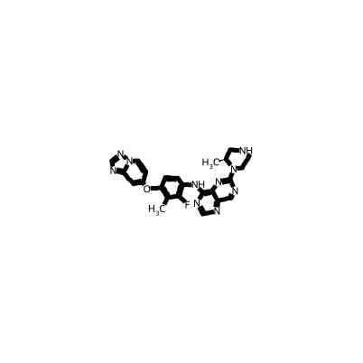 Cc1c(Oc2ccn3ncnc3c2)ccc(Nc2ncnc3cnc(N4CCNC[C@H]4C)nc23)c1F